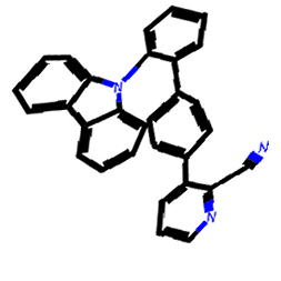 N#Cc1ncccc1-c1ccc(-c2ccccc2-n2c3ccccc3c3ccccc32)cc1